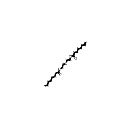 CCCCCCCC(=O)OCCOCCOC(=O)CCCCCCC